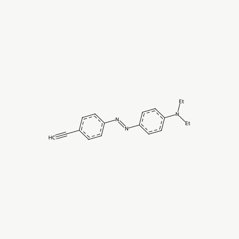 C#Cc1ccc(N=Nc2ccc(N(CC)CC)cc2)cc1